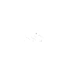 O=Cc1cn(-c2ccnc(Nc3cc([N+](=O)[O-])c(N4CCOCC4)nc3OCC(F)(F)F)n2)c2cc(F)ccc12